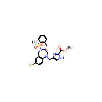 CC(C)(C)OC(=O)c1nc(CN2C[C@@H](Cc3ccccc3)N(S(C)(=O)=O)Cc3cc(Br)ccc32)c[nH]1